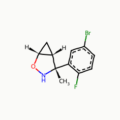 C[C@@]1(c2cc(Br)ccc2F)NO[C@@H]2C[C@@H]21